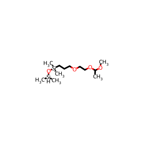 COC(C)OCCOCCC[Si](C)(C)O[SiH](C)C